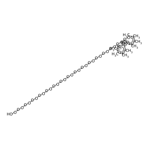 C=CSCCOCC(C)OCC(C)OCC(C)OCC(C)OCC(C)OCC(C)OCC(C)OCC(C)OCC(C)OCC(C)OCCOCCOCCOCCOCCOCCOCCOCCOCCOCCOCCOCCOCCOCCOCCOCCOCCOCCOCCOCCOCCOCCOCCOCCOCCOCCOCCOCCOCCOCCOCCOCCOCCO